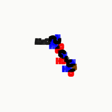 COc1ccc2nccc(NC(=O)OC3CCN(C[C@@H](O)c4cnc5c(c4)NC(=O)CS5)CC3)c2n1